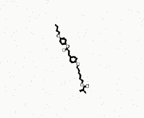 C=C(C)C(=O)OCCCCCCOc1ccc(C=CC(=O)Oc2ccc(OCCCC)cc2)cc1